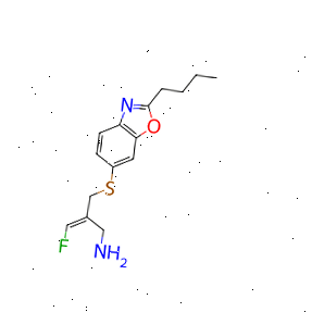 CCCCc1nc2ccc(SC/C(=C/F)CN)cc2o1